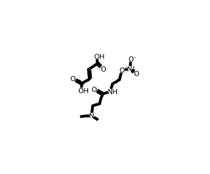 CN(C)CCC(=O)NCCO[N+](=O)[O-].O=C(O)C=CC(=O)O